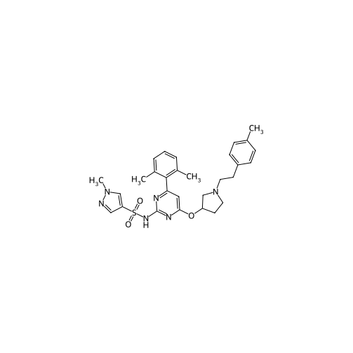 Cc1ccc(CCN2CCC(Oc3cc(-c4c(C)cccc4C)nc(NS(=O)(=O)c4cnn(C)c4)n3)C2)cc1